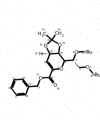 CCCCOC[C@@H](OCCCC)C1OC(C(=O)OCc2ccccc2)=C[C@H]2OC(C)(C)OC12